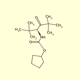 CC(C)(C)C(=O)[C@@H](NC(=O)OC1CCCC1)C(C)(C)C